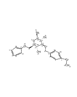 COc1ccc(CO[C@@H]2[C@@H](O)[C@H](S)O[C@H](COc3ccccc3)[C@H]2O)cc1